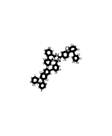 c1ccc(-c2ccccc2-c2ccc3ccc(-c4cccc(-c5nc(-c6ccc7c(c6)oc6cccc(-c8ccccc8)c67)nc(-c6ccccc6-c6ccccc6)n5)c4)cc3c2)cc1